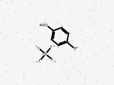 COc1ccc([IH+])cc1.F[B-](F)(F)F